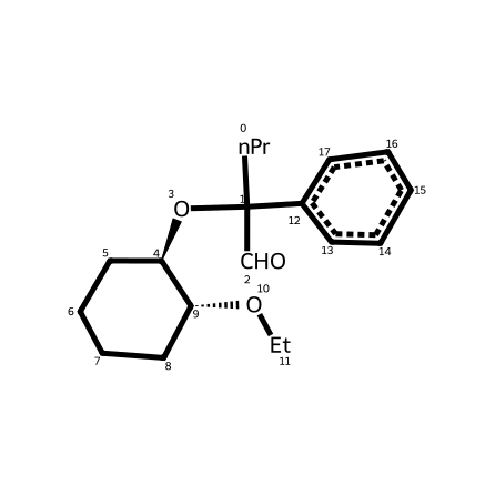 CCCC(C=O)(O[C@@H]1CCCC[C@H]1OCC)c1ccccc1